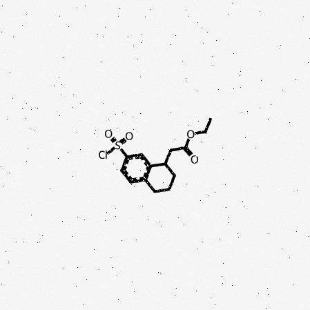 CCOC(=O)CC1CCCc2ccc(S(=O)(=O)Cl)cc21